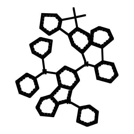 CC1(C)c2ccccc2-c2cc(N(c3cc(N(c4ccccc4)c4ccccc4)c4c5ccccc5n(-c5ccccc5)c4c3)c3ccccc3-c3ccccc3)ccc21